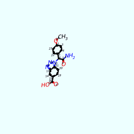 COc1ccc(C(C(N)=O)n2nnc3cc(C(=O)O)ccc32)cc1